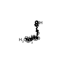 CC(C)(C)OC(=O)N1CCC(OC(=O)N[C@@H](CCOC2CC(CCc3ccc4c(n3)NCCC4)C2)C(=O)O)C1